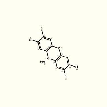 Br.Clc1cc2c(cc1Cl)Oc1cc(Cl)c(Cl)cc1O2